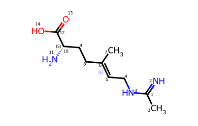 CC(=N)NC/C=C(\C)CC[C@H](N)C(=O)O